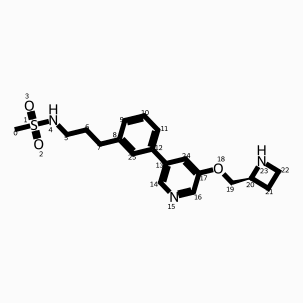 CS(=O)(=O)NCCCc1cccc(-c2cncc(OC[C@@H]3CCN3)c2)c1